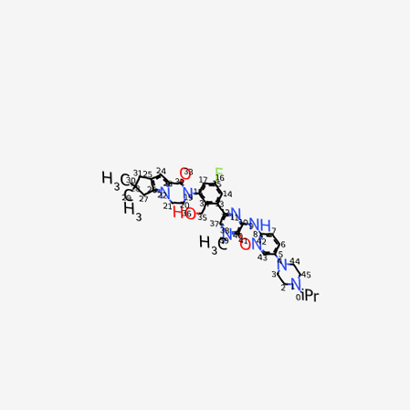 CC(C)N1CCN(c2ccc(Nc3nc(-c4cc(F)cc(N5CCn6c(cc7c6CC(C)(C)C7)C5=O)c4CO)cn(C)c3=O)nc2)CC1